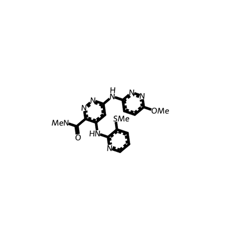 CNC(=O)c1nnc(Nc2ccc(OC)nn2)cc1Nc1ncccc1SC